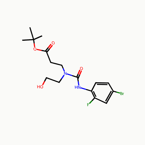 CC(C)(C)OC(=O)CCN(CCO)C(=O)Nc1ccc(Br)cc1F